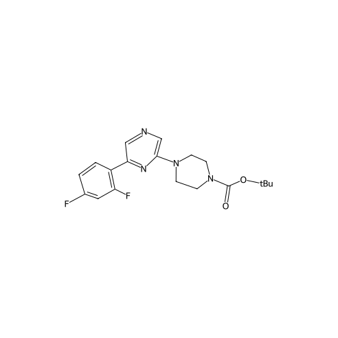 CC(C)(C)OC(=O)N1CCN(c2cncc(-c3ccc(F)cc3F)n2)CC1